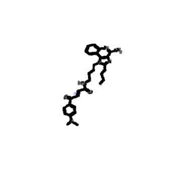 CCCCc1nc2c(N)nc3ccccc3c2n1CCCCNC(=O)/C=C/C(=O)c1ccc(N(C)C)cc1